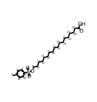 Cc1ccc(S(=O)(=O)OCCCCCCCCCCCCCCCCCC(=O)O)cc1